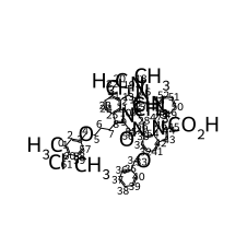 Cc1cc(OCCCc2c3n(c4c(-c5c(C)nn(C)c5C)c(Cl)ccc24)C(C)CN(c2cc(OCc4ccccc4)cc4cc(C(=O)O)n(Cc5ccccn5)c24)C3=O)cc(C)c1Cl